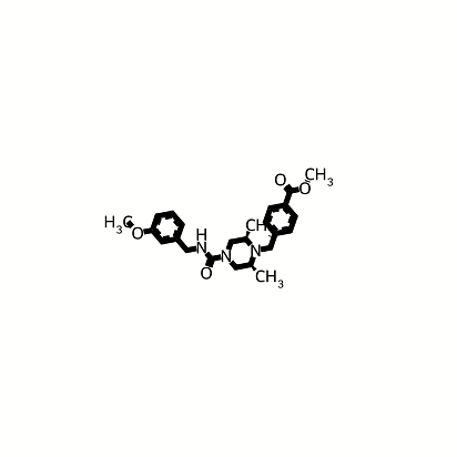 COC(=O)c1ccc(CN2[C@H](C)CN(C(=O)NCc3cccc(OC)c3)C[C@@H]2C)cc1